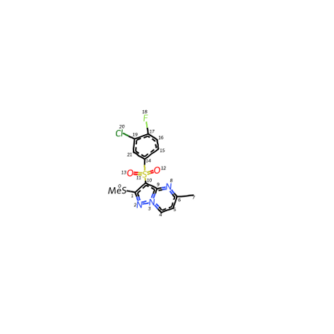 CSc1nn2ccc(C)nc2c1S(=O)(=O)c1ccc(F)c(Cl)c1